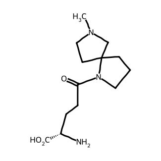 CN1CCC2(CCCN2C(=O)CC[C@H](N)C(=O)O)C1